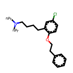 CCCN(CCC)CCCCc1cc(Cl)ccc1OCCc1ccccc1